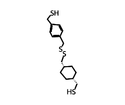 SCc1ccc(CSSC[C@H]2CC[C@@H](CS)CC2)cc1